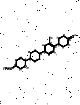 CCCCCC1COC(C2CCC(c3ccc(C4CCC(=O)CC4)c(F)c3)CC2)OC1